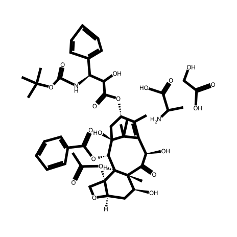 CC(=O)O[C@@]12CO[C@@H]1C[C@H](O)[C@@]1(C)C(=O)[C@H](O)C3=C(C)[C@@H](OC(=O)C(O)[C@@H](NC(=O)OC(C)(C)C)c4ccccc4)C[C@@](O)([C@@H](OC(=O)c4ccccc4)[C@H]21)C3(C)C.CC(N)C(=O)O.O=C(O)CO